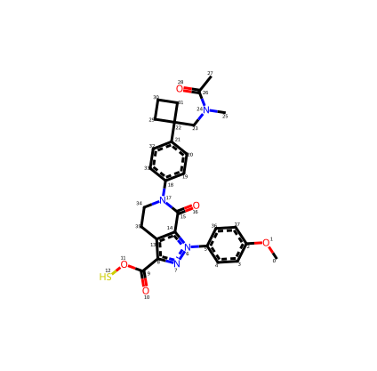 COc1ccc(-n2nc(C(=O)OS)c3c2C(=O)N(c2ccc(C4(CN(C)C(C)=O)CCC4)cc2)CC3)cc1